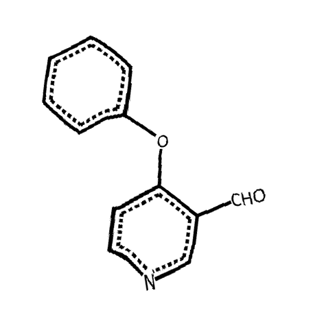 O=Cc1cnccc1Oc1ccccc1